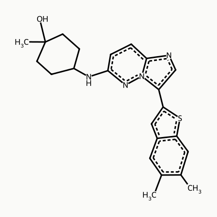 Cc1cc2cc(-c3cnc4ccc(NC5CCC(C)(O)CC5)nn34)sc2cc1C